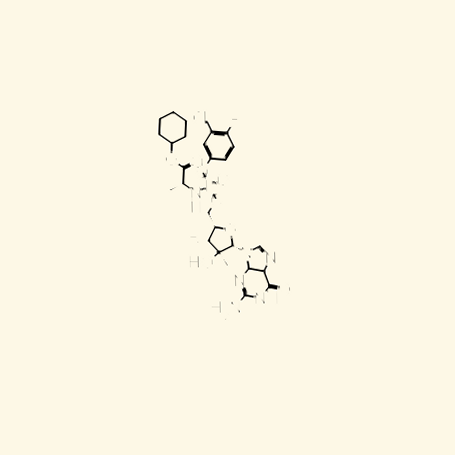 C[C@H](NP(=O)(OC[C@H]1O[C@@H](N2C=NC3C(=O)NC(N)=NC32)[C@](C)(O)[C@@H]1F)Oc1ccc(F)c(Cl)c1)C(=O)OC1CCCCC1